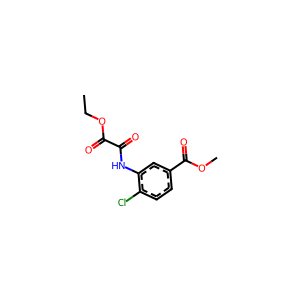 CCOC(=O)C(=O)Nc1cc(C(=O)OC)ccc1Cl